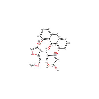 COc1c2occc2cc2ccc(=O)oc12.O=C1c2c(O)cccc2Cc2cccc(O)c21